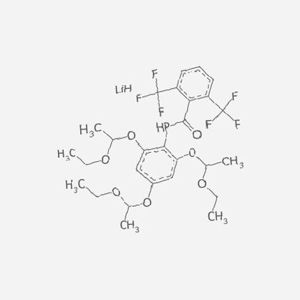 CCOC(C)Oc1cc(OC(C)OCC)c(PC(=O)c2c(C(F)(F)F)cccc2C(F)(F)F)c(OC(C)OCC)c1.[LiH]